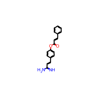 N=C(N)C=Cc1ccc(OC(=O)C=Cc2ccccc2)cc1